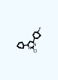 Fc1ccc(-c2cc(-c3ccccc3)nc(Cl)n2)cc1